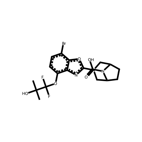 CC(C)(O)C(F)(F)Oc1ccc(Br)c2oc(N3CC4CCC(C3)N4C(=O)O)nc12